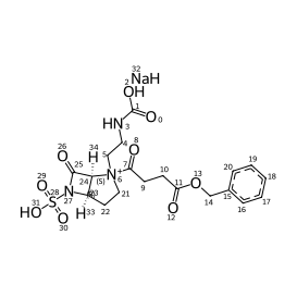 O=C(O)NCC[N+]1(C(=O)CCC(=O)OCc2ccccc2)CC[C@@H]2[C@H]1C(=O)N2S(=O)(=O)O.[NaH]